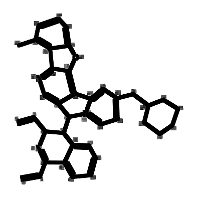 C=CC1=NC(C=C)C(C2c3cnc4c(oc5cccc(C)c54)c3-c3cc(CC4CCCCC4)cc[n+]32)c2ccccc21